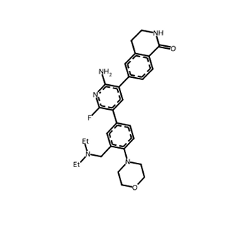 CCN(CC)Cc1cc(-c2cc(-c3ccc4c(c3)CCNC4=O)c(N)nc2F)ccc1N1CCOCC1